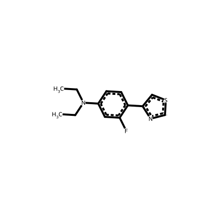 CCN(CC)c1ccc(-c2cs[c]n2)c(F)c1